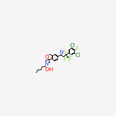 CCCCC(O)N1CC2(C1)OCc1cc(C3=NSC(c4cc(Cl)c(F)c(Cl)c4)(C(F)(F)F)C3)ccc12